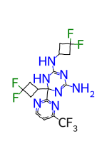 NC1=NC(c2nccc(C(F)(F)F)n2)(C2CC(F)(F)C2)NC(NC2CC(F)(F)C2)=N1